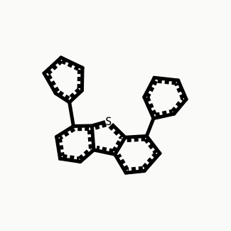 c1ccc(-c2cccc3c2sc2c(-c4ccccc4)cccc23)cc1